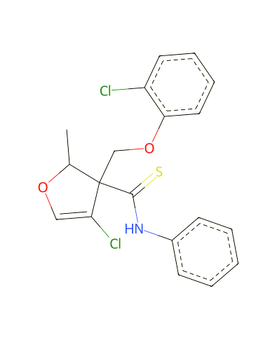 CC1OC=C(Cl)C1(COc1ccccc1Cl)C(=S)Nc1ccccc1